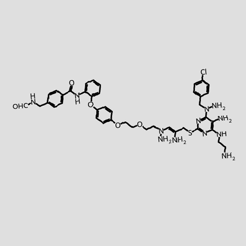 NCCNc1nc(SC/C(N)=C/N(N)CCOCCOc2ccc(Oc3ccccc3NC(=O)c3ccc(CNC=O)cc3)cc2)nc(N(N)Cc2ccc(Cl)cc2)c1N